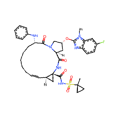 CC(C)n1c(O[C@@H]2C[C@H]3C(=O)N[C@]4(C(=O)NS(=O)(=O)C5(C)CC5)C[C@H]4/C=C\CCCCC[C@H](Nc4ccccc4)C(=O)N3C2)nc2ccc(F)cc21